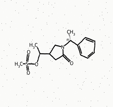 CC(OS(C)(=O)=O)C1CC(=O)N([C@H](C)c2ccccc2)C1